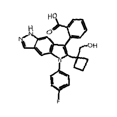 O=C(O)c1ccccc1-c1c(C2(CO)CCC2)n(-c2ccc(F)cc2)c2cc3cn[nH]c3cc12